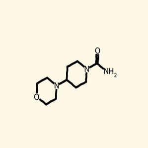 NC(=O)N1CCC(N2CCOCC2)CC1